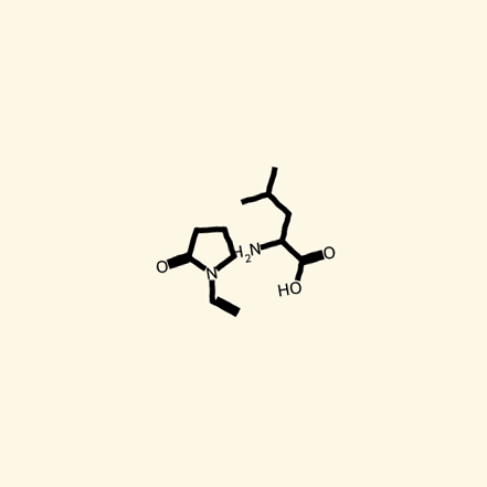 C=CN1CCCC1=O.CC(C)CC(N)C(=O)O